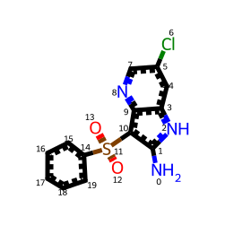 Nc1[nH]c2cc(Cl)cnc2c1S(=O)(=O)c1ccccc1